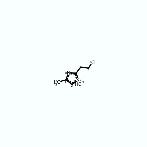 Cc1csc(CCCl)n1.Cl